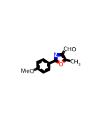 COc1ccc(-c2nc(C=O)c(C)o2)cc1